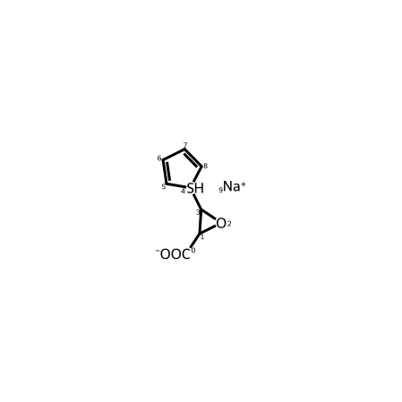 O=C([O-])C1OC1[SH]1C=CC=C1.[Na+]